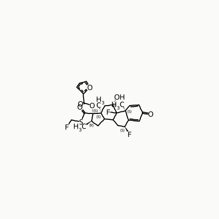 C[C@@H]1CC2C3C[C@H](F)C4=CC(=O)C=C[C@]4(C)C3(F)[C@@H](O)C[C@]2(C)[C@]1(OC(=O)c1ccco1)C(=O)SCF